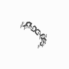 FC(F)Cn1ncc2ncc(N3CCC4(CCN(c5cccc(C(F)(F)F)n5)CC4)CC3)nc21